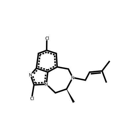 CC(C)=CCN1Cc2cc(Cl)cc3nc(Cl)n(c23)C[C@@H]1C